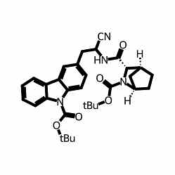 CC(C)(C)OC(=O)N1[C@@H]2CC[C@@H](C2)[C@H]1C(=O)NC(C#N)Cc1ccc2c(c1)c1ccccc1n2C(=O)OC(C)(C)C